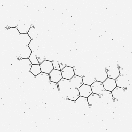 COCC(C)CCCC(C)C1CCC2C3=CC(=O)C4CC(OC5OC(CO)C(O)C(O)C5OC5OC(C)C(O)C(OC)C5O)CCC4(C)C3CCC21C